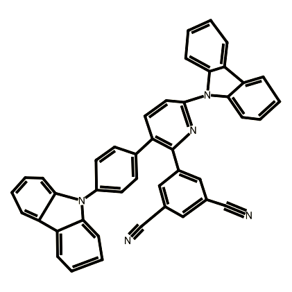 N#Cc1cc(C#N)cc(-c2nc(-n3c4ccccc4c4ccccc43)ccc2-c2ccc(-n3c4ccccc4c4ccccc43)cc2)c1